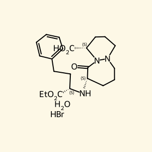 Br.CCOC(=O)[C@H](CCc1ccccc1)N[C@H]1CCCN2CCC[C@@H](C(=O)O)N2C1=O.O